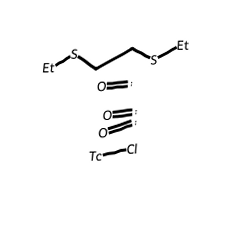 CCSCCSCC.[C]=O.[C]=O.[C]=O.[Cl][Tc]